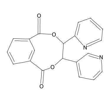 O=C1OC(c2cccnc2)C(c2ccccn2)OC(=O)c2cccc1c2